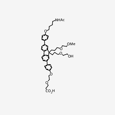 COCCOCCCC1(CCCOCCO)c2cc(-c3ccc(OCCCCNC(C)=O)cc3)ccc2-c2ccc(-c3ccc(OCCOCCC(=O)O)cc3)cc21